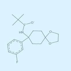 CC(C)(C)[S+]([O-])NC1(c2cccc(F)c2)CCC2(CC1)OCCO2